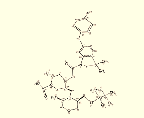 C[C@@H]1CN(CC(=O)N2CC(C)(C)c3ncc(Cc4ccc(F)cc4)cc32)[C@@H](CN2[C@@H](CO[Si](C)(C)C(C)(C)C)COC[C@H]2C)CN1C(=O)O